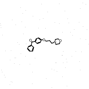 O=C(c1ccccc1)c1ccc(OCCCN2CCOCC2)cc1